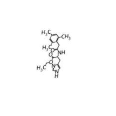 CCOC(=O)C(Cc1c[nH]cn1)NC(=O)Cc1c(C)cc(C)cc1C